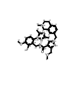 COCc1nn(Cc2ccc3c(c2)CN(C)CC3)cc1C(=O)NCc1c(-n2nc(C)nc2C)ccc(OC)c1F